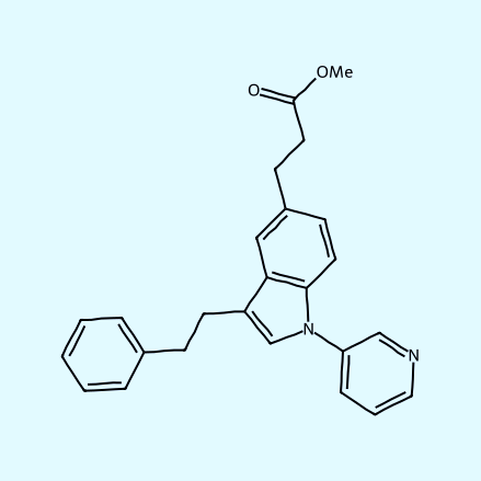 COC(=O)CCc1ccc2c(c1)c(CCc1ccccc1)cn2-c1cccnc1